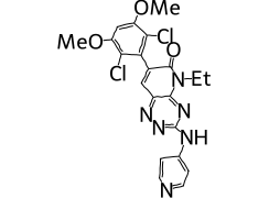 CCn1c(=O)c(-c2c(Cl)c(OC)cc(OC)c2Cl)cc2nnc(Nc3ccncc3)nc21